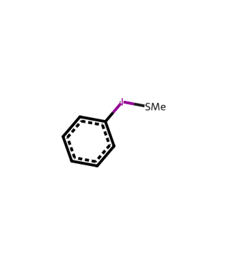 CS[I]c1ccccc1